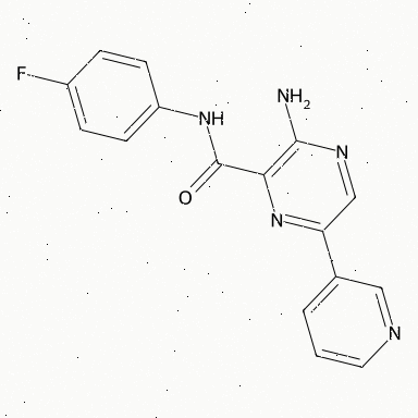 Nc1ncc(-c2cccnc2)nc1C(=O)Nc1ccc(F)cc1